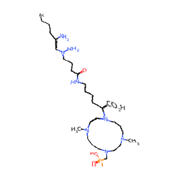 CC(=O)CCC/C(N)=C/N(N)CCCC(=O)NCCCCC(C(=O)O)N1CCCN(C)CCN(CP(=O)(O)O)CCCN(C)CC1